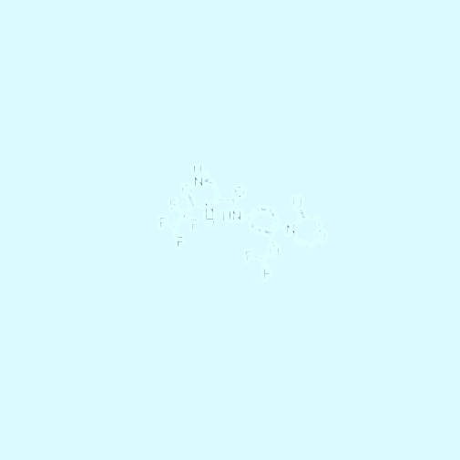 NC[C@@H](NC(=O)C(F)(F)C(F)F)C(=O)Nc1ccc(N2CCOCC2=O)c(OC(F)F)c1